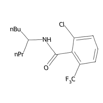 CCCCC(CCC)NC(=O)c1c(Cl)cccc1C(F)(F)F